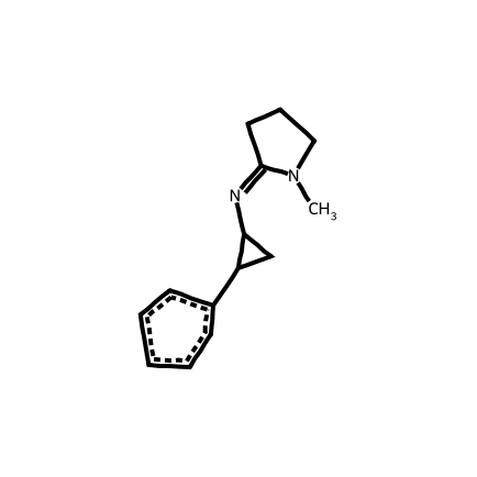 CN1CCCC1=NC1CC1c1ccccc1